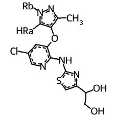 Cc1n[n]([Rb])[c]([RaH])c1Oc1cc(Cl)cnc1Nc1nc(C(O)CO)cs1